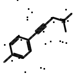 Cc1ccc(C#CCN(C)C)cc1